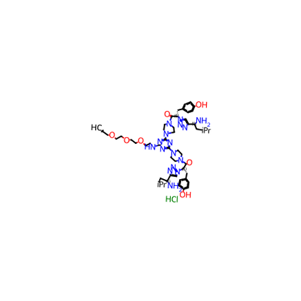 C#CCOCCOCCOCCNc1nc(N2CCN(C(=O)[C@H](Cc3ccc(O)cc3)n3cc([C@@H](N)CC(C)C)nn3)CC2)nc(N2CCN(C(=O)[C@H](Cc3ccc(O)cc3)n3cc([C@@H](N)CC(C)C)nn3)CC2)n1.Cl